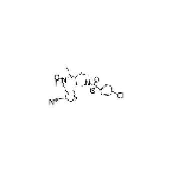 CN(C1CCN(S(=O)(=O)c2ccc(Cl)cc2)CC1)N1OCC1N1CSCC1C#N